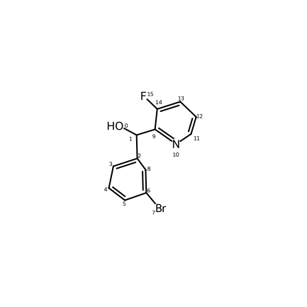 OC(c1cccc(Br)c1)c1ncccc1F